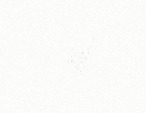 COc1cc(Nc2nc3ccccc3nc2NS(=O)(=O)c2cccc(CN3CCC3)c2)c(OCCCO)c(OC)c1